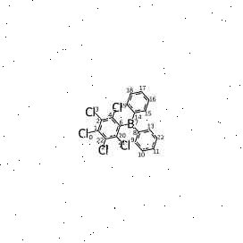 Clc1c(Cl)c(Cl)c(B(c2ccccc2)c2ccccc2)c(Cl)c1Cl